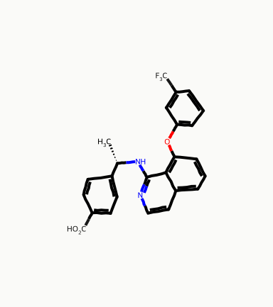 C[C@H](Nc1nccc2cccc(Oc3cccc(C(F)(F)F)c3)c12)c1ccc(C(=O)O)cc1